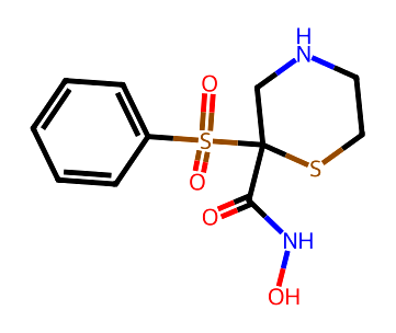 O=C(NO)C1(S(=O)(=O)c2ccccc2)CNCCS1